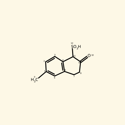 Cc1ccc2c(c1)CCC(=O)C2S(=O)(=O)O